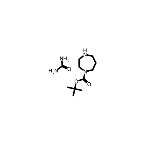 CC(C)(C)OC(=O)N1CCCNCC1.NC(N)=O